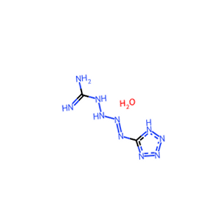 N=C(N)NNN=Nc1nnn[nH]1.O